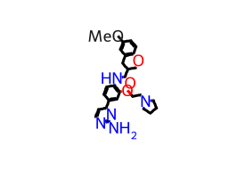 COc1ccc2c(c1)CC(C(=O)Nc1ccc(-c3ccnc(N)n3)cc1OCCN1CCCC1)CO2